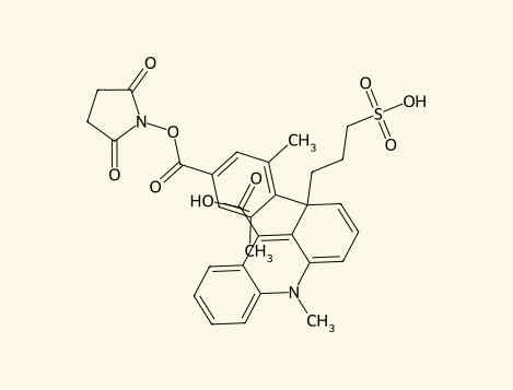 Cc1cc(C(=O)ON2C(=O)CCC2=O)cc(C)c1C1(CCCS(=O)(=O)O)C=CC=C2C1=C(C(=O)O)c1ccccc1N2C